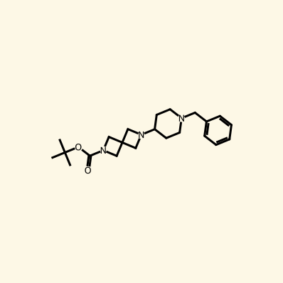 CC(C)(C)OC(=O)N1CC2(C1)CN(C1CCN(Cc3ccccc3)CC1)C2